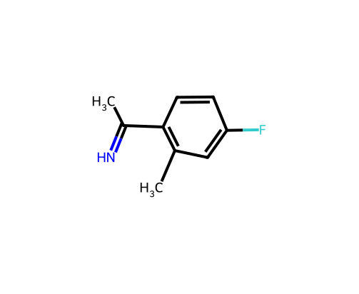 CC(=N)c1ccc(F)cc1C